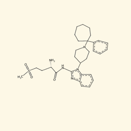 CS(=O)(=O)CC[C@H](N)C(=O)Nc1nc2ccccc2n1C1CCN(C2(c3ccccc3)CCCCCC2)CC1